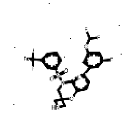 O=S(=O)(c1cccc(C(F)(F)F)c1)N1CC2(CNC2)Oc2ccc(-c3cc(F)cc(OC(F)F)c3)cc21